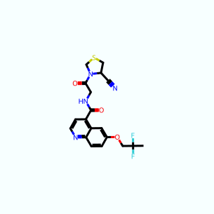 CC(F)(F)COc1ccc2nccc(C(=O)NCC(=O)N3CSCC3C#N)c2c1